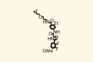 CCc1cc(NC(=O)c2ncc(-c3ccc(OC)c(F)c3F)[nH]2)ccc1C(=O)NCCCOCCN(C)C